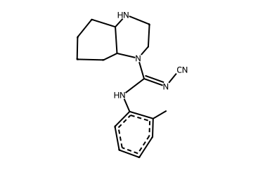 Cc1ccccc1N/C(=N/C#N)N1CCNC2CCCCC21